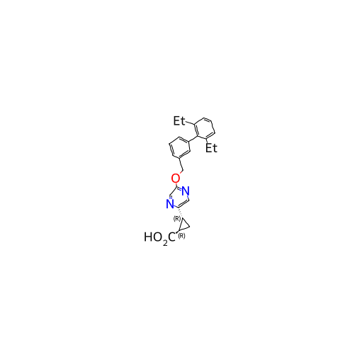 CCc1cccc(CC)c1-c1cccc(COc2cnc([C@@H]3C[C@H]3C(=O)O)cn2)c1